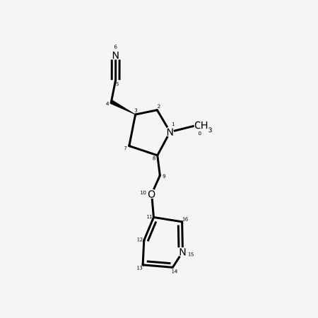 CN1C[C@H](CC#N)CC1COc1cccnc1